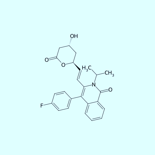 CC(C)n1c(/C=C/[C@@H]2C[C@@H](O)CC(=O)O2)c(-c2ccc(F)cc2)c2ccccc2c1=O